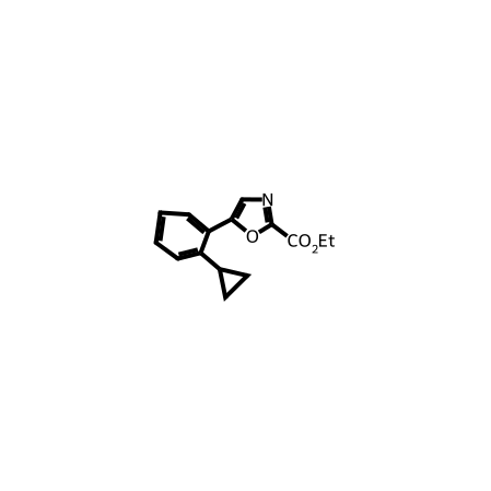 CCOC(=O)c1ncc(-c2ccccc2C2CC2)o1